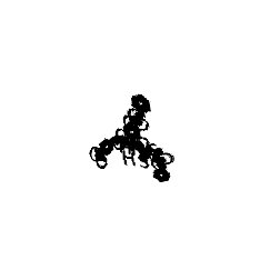 CC1(C)SC2(C)[C@H](NC(=O)C(NC(=O)OCc3ccc([N+](=O)[O-])cc3)c3ccc(OC(=O)OCc4ccccc4)cc3)C(=S)N2[C@H]1C(=O)OCc1ccccc1